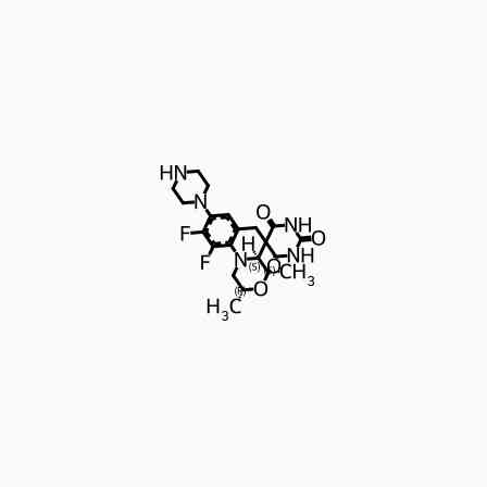 C[C@@H]1CN2c3c(cc(N4CCNCC4)c(F)c3F)CC3(C(=O)NC(=O)NC3=O)[C@H]2[C@H](C)O1